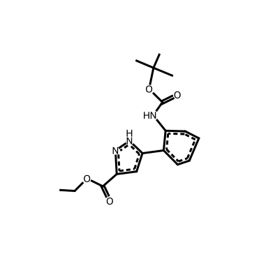 CCOC(=O)c1cc(-c2ccccc2NC(=O)OC(C)(C)C)[nH]n1